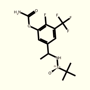 CC(N[S@+]([O-])C(C)(C)C)c1cc(OC(N)=O)c(F)c(C(F)(F)F)c1